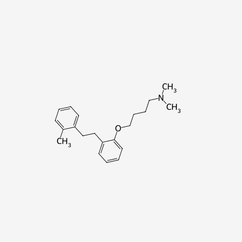 Cc1ccccc1CCc1ccccc1OCCCCN(C)C